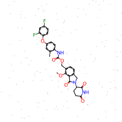 COc1c(COC(=O)Nc2ccc(Oc3ccc(F)cc3F)cc2C)ccc2c1C(=O)N(C1CCC(=O)NC1=O)C2